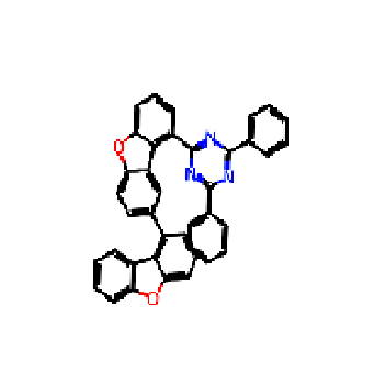 c1ccc(-c2nc(-c3ccccc3)nc(-c3cccc4oc5ccc(-c6cccc7oc8ccccc8c67)cc5c34)n2)cc1